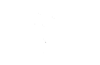 Cc1cc(N[C@@H](c2ccc(C(F)(F)F)c(F)c2)C(C)(C)C)n2nc(CCO)nc2n1